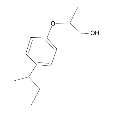 CCC(C)c1ccc(OC(C)CO)cc1